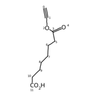 C#COC(=O)CCCCCCC(=O)O